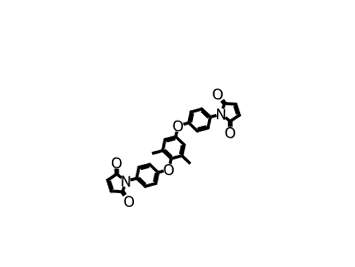 Cc1cc(Oc2ccc(N3C(=O)C=CC3=O)cc2)cc(C)c1Oc1ccc(N2C(=O)C=CC2=O)cc1